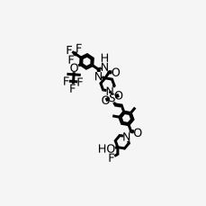 Cc1cc(C(=O)N2CCC(O)(CF)CC2)cc(C)c1C=CS(=O)(=O)N1CCC2(CC1)N=C(c1ccc(C(F)(F)F)c(OC(C)(C)C(F)(F)F)c1)NC2=O